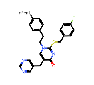 CCCCCc1ccc(CCn2cc(Cc3cncnc3)c(=O)nc2SCc2ccc(F)cc2)cc1